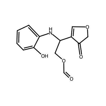 O=COCC(Nc1ccccc1O)C1=COCC1=O